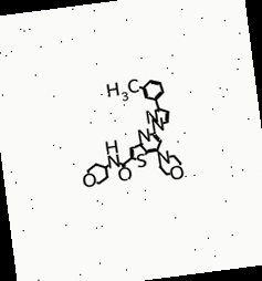 Cc1cccc(-c2ccn(-c3cc(N4CCOCC4)c4sc(C(=O)NC5CCOCC5)cc4n3)n2)c1